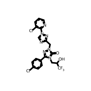 O=c1n(Cc2ncn(-c3ncccc3Cl)n2)nc(-c2ccc(Cl)cc2)n1CC(O)C(F)(F)F